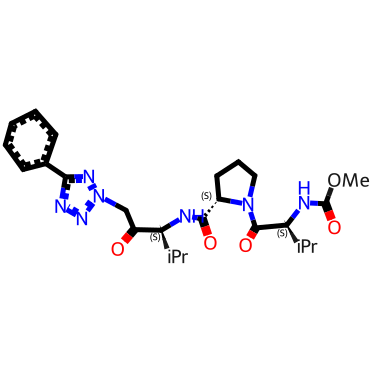 COC(=O)N[C@H](C(=O)N1CCC[C@H]1C(=O)N[C@H](C(=O)Cn1nnc(-c2ccccc2)n1)C(C)C)C(C)C